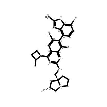 CC1CCN1c1nc(OC[C@@]23CCCN2C[C@H](F)C3)nc2c(F)c(-c3ccc(F)c4sc(N)nc34)c(C(F)(F)F)cc12